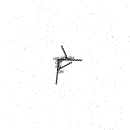 CCCCCCCCCCC(O)CN(CCCOC(=O)CC(C)(O)CC(=O)OCCCN(CC(O)CCCCCCCCCC)CC(O)CCCCCCCCCC)CC(O)CCCCCCCCCC